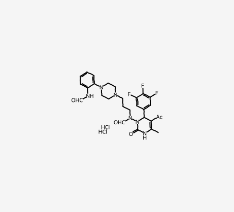 CC(=O)C1=C(C)NC(=O)N(N(C=O)CCCN2CCN(c3ccccc3NC=O)CC2)C1c1cc(F)c(F)c(F)c1.Cl.Cl